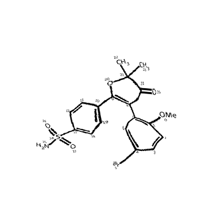 COc1ccc(C(C)C)cc1C1=C(c2ccc(S(N)(=O)=O)cc2)OC(C)(C)C1=O